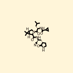 CC(C)C[C@H](NC(=O)C1CC1)C(=O)N1C[C@H]2[C@@H](C1C(=O)N[C@H](C#N)C[C@@H]1CCNC1=O)C2(C)C